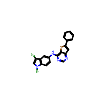 Brc1cn(Br)c2ccc(Nc3ncnc4cc(-c5ccccc5)sc34)cc12